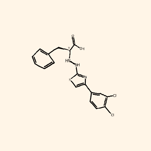 O=C(O)[C@H](Cc1ccccc1)NNc1nc(-c2ccc(Cl)c(Cl)c2)cs1